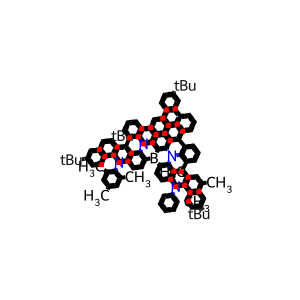 Cc1cc(C)c(N(c2ccccc2)c2ccc3c(c2)N(c2c(-c4cccc(-c5ccc(C(C)(C)C)cc5)c4)cccc2-c2cccc(-c4ccc(C(C)(C)C)cc4)c2)c2cc(-c4cccc5ccccc45)cc4c2B3c2ccc(N(c3ccccc3)c3c(C)cc(C)cc3C)cc2N4c2c(-c3cccc(-c4ccc(C(C)(C)C)cc4)c3)cccc2-c2cccc(-c3ccc(C(C)(C)C)cc3)c2)c(C)c1